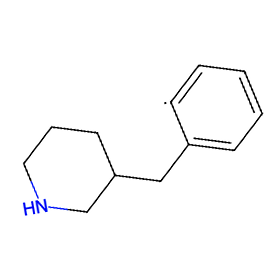 [c]1ccccc1CC1CCCNC1